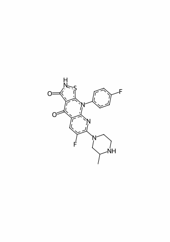 CC1CN(c2nc3c(cc2F)c(=O)c2c(=O)[nH]sc2n3-c2ccc(F)cc2)CCN1